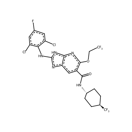 O=C(N[C@H]1CC[C@H](C(F)(F)F)CC1)c1cc2nc(Nc3c(Cl)cc(F)cc3Cl)[nH]c2nc1OCC(F)(F)F